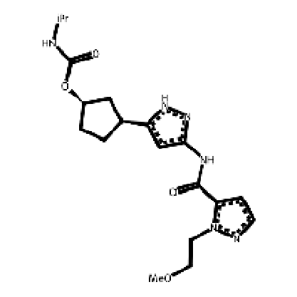 COCCn1nccc1C(=O)Nc1cc([C@H]2CC[C@@H](OC(=O)NC(C)C)C2)[nH]n1